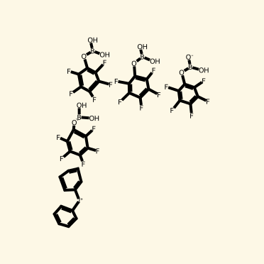 OB(O)Oc1c(F)c(F)c(F)c(F)c1F.OB(O)Oc1c(F)c(F)c(F)c(F)c1F.OB(O)Oc1c(F)c(F)c(F)c(F)c1F.[O-]B(O)Oc1c(F)c(F)c(F)c(F)c1F.c1ccc([I+]c2ccccc2)cc1